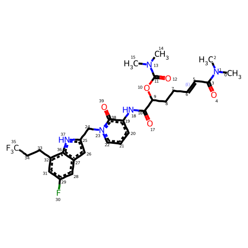 CN(C)C(=O)/C=C/CCC(OC(=O)N(C)C)C(=O)Nc1cccn(Cc2cc3cc(F)cc(CCC(F)(F)F)c3[nH]2)c1=O